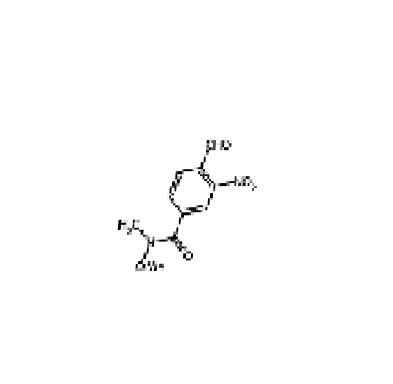 CON(C)C(=O)c1ccc(C=O)c([N+](=O)[O-])c1